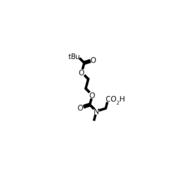 CN(CC(=O)O)C(=O)OCCOC(=O)C(C)(C)C